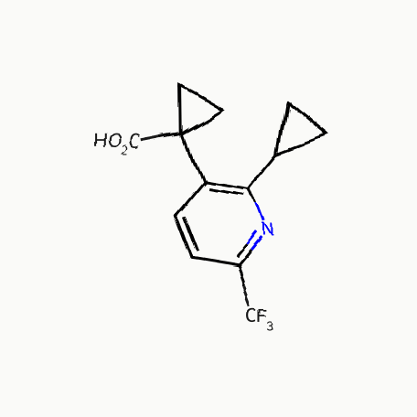 O=C(O)C1(c2ccc(C(F)(F)F)nc2C2CC2)CC1